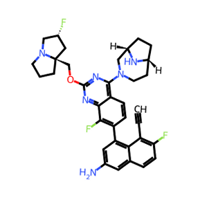 C#Cc1c(F)ccc2cc(N)cc(-c3ccc4c(N5CC[C@H]6CC[C@@H](C5)N6)nc(OC[C@@]56CCCN5C[C@H](F)C6)nc4c3F)c12